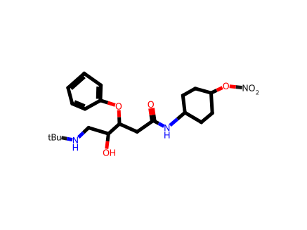 CC(C)(C)NCC(O)C(CC(=O)NC1CCC(O[N+](=O)[O-])CC1)Oc1ccccc1